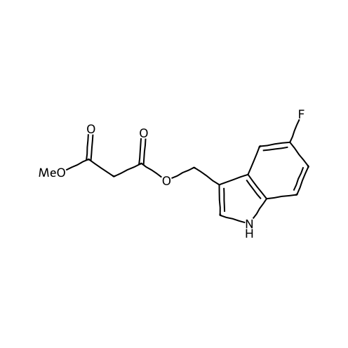 COC(=O)CC(=O)OCc1c[nH]c2ccc(F)cc12